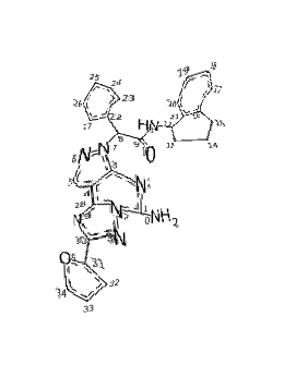 Nc1nc2c(cnn2C(C(=O)NC2CCCc3ccccc32)c2ccccc2)c2nc(-c3ccco3)nn12